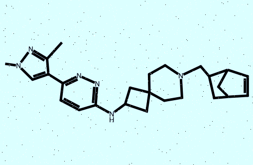 Cc1nn(C)cc1-c1ccc(NC2CC3(CCN(CC4CC5C=CC4C5)CC3)C2)nn1